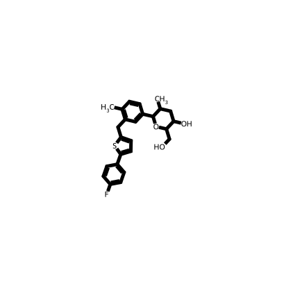 Cc1ccc(C2OC(CO)C(O)CC2C)cc1Cc1ccc(-c2ccc(F)cc2)s1